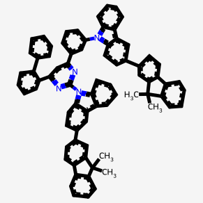 CC1(C)c2ccccc2-c2ccc(-c3ccc4c(c3)c3ccccc3n4-c3cccc(-c4cc(-c5ccccc5-c5ccccc5)nc(-n5c6ccccc6c6cc(-c7ccc8c(c7)C(C)(C)c7ccccc7-8)ccc65)n4)c3)cc21